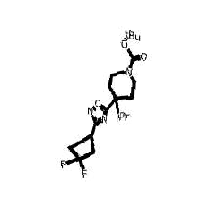 CC(C)C1(c2nc(C3CC(F)(F)C3)no2)CCN(C(=O)OC(C)(C)C)CC1